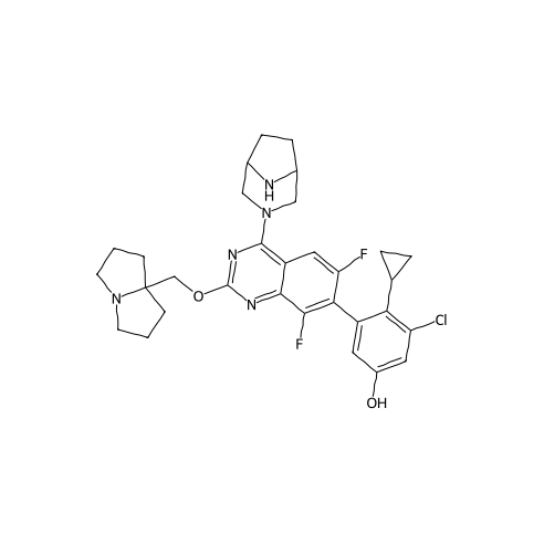 Oc1cc(Cl)c(C2CC2)c(-c2c(F)cc3c(N4CC5CCC(C4)N5)nc(OCC45CCCN4CCC5)nc3c2F)c1